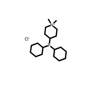 C[N+]1(C)CCC(P(C2CCCCC2)C2CCCCC2)CC1.[Cl-]